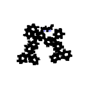 C/C=C\C=C/c1cc(-c2ccc3c4cc(N(c5ccccc5)c5ccccc5)ccc4n(-c4ccccc4)c3c2)cc2c1-c1cccc3cccc(c13)N2c1ccc2cc(N(c3ccccc3)c3ccccc3)ccc2c1